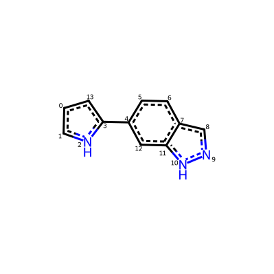 c1c[nH]c(-c2ccc3cn[nH]c3c2)c1